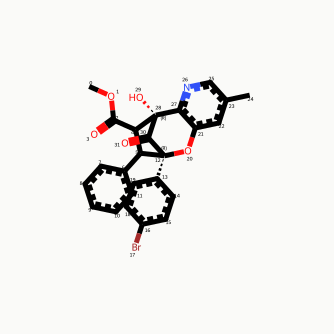 COC(=O)C1C(c2ccccc2)[C@]2(c3ccc(Br)cc3)Oc3cc(C)cnc3[C@@]1(O)C2=O